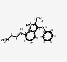 Cc1[nH]c2c(NCCN)cccc2c1Sc1ccccc1